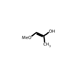 CO/C=C(\C)O